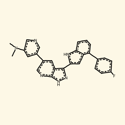 CN(C)c1cncc(-c2cnc3[nH]nc(-c4cc5c(-c6ccc(F)cc6)cccc5[nH]4)c3c2)c1